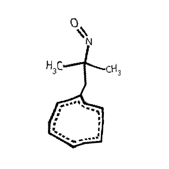 CC(C)(N=O)c1ccccc1